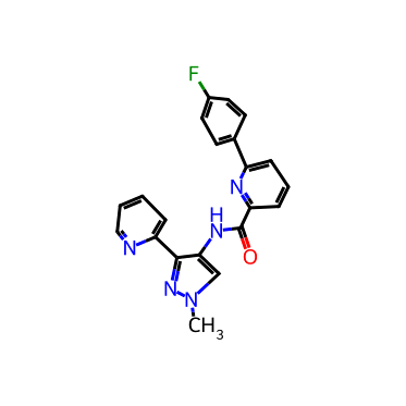 Cn1cc(NC(=O)c2cccc(-c3ccc(F)cc3)n2)c(-c2ccccn2)n1